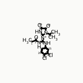 CCC(=O)NC(=[N+]=C1NC(=O)C(=O)N1C(C)C)Nc1ccc(Cl)c(Cl)c1